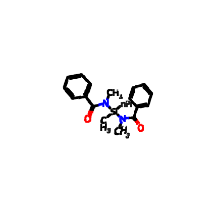 CCC[Si](C)(N(C)C(=O)c1ccccc1)N(C)C(=O)c1ccccc1